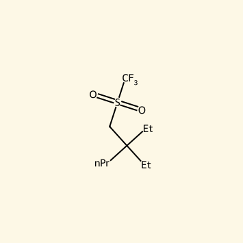 CCCC(CC)(CC)CS(=O)(=O)C(F)(F)F